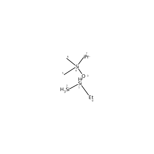 CC[SiH]([SiH3])O[Si](C)(C)[C](C)C